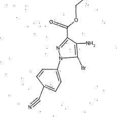 CCOC(=O)c1nn(-c2ccc(C#N)cc2)c(Br)c1N